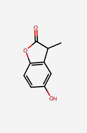 CC1C(=O)Oc2ccc(O)cc21